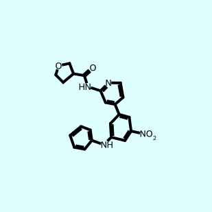 O=C(Nc1cc(-c2cc(Nc3ccccc3)cc([N+](=O)[O-])c2)ccn1)C1CCOC1